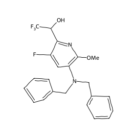 COc1nc(C(O)C(F)(F)F)c(F)cc1N(Cc1ccccc1)Cc1ccccc1